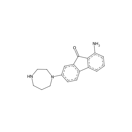 Nc1cccc2c1C(=O)c1cc(N3CCCNCC3)ccc1-2